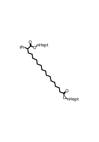 CCCCCCCOC(=O)CCCCCCCCCCCCCCCC(C(=O)OCCCCCCC)C(C)C